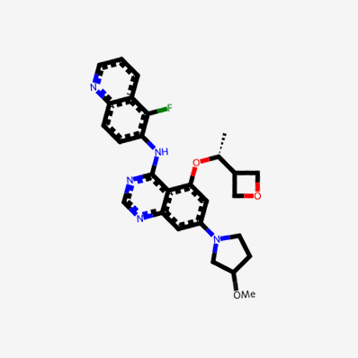 COC1CCN(c2cc(O[C@H](C)C3COC3)c3c(Nc4ccc5ncccc5c4F)ncnc3c2)C1